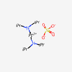 CC(C)[N]([Pt+2][N](C(C)C)C(C)C)C(C)C.O=S(=O)([O-])[O-]